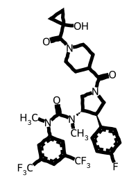 CN(C(=O)N(C)[C@@H]1CN(C(=O)C2CCN(C(=O)C3(O)CC3)CC2)C[C@H]1c1ccc(F)cc1)c1cc(C(F)(F)F)cc(C(F)(F)F)c1